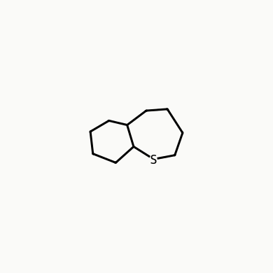 C1CCC2CCCCC2SC1